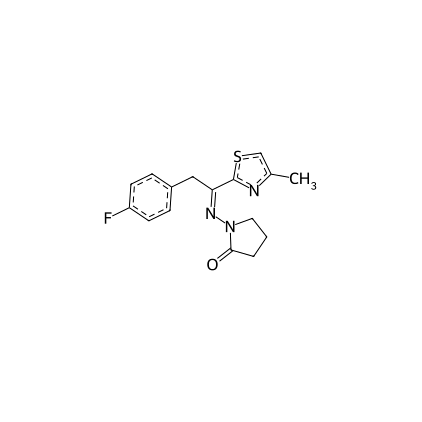 Cc1csc(C(Cc2ccc(F)cc2)=NN2CCCC2=O)n1